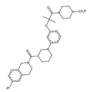 CC(C)c1ccc2c(c1)CCN(C(=O)C1CCCN(c3cccc(OC(C)(C)C(=O)N4CCN(C(=O)O)CC4)c3)C1)C2